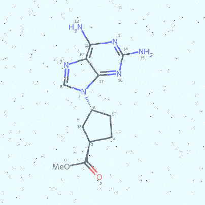 COC(=O)[C@@H]1CC[C@@H](n2cnc3c(N)nc(N)nc32)C1